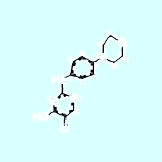 Oc1nc(Nc2ccc(N3CCOCC3)cc2)ncc1Cl